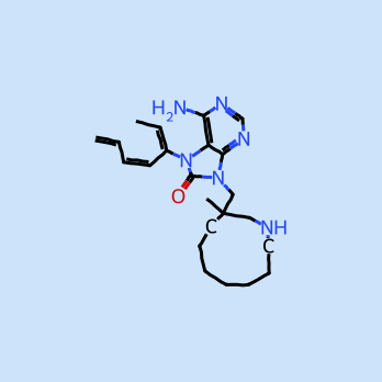 C=C/C=C\C(=C/C)n1c(=O)n(CC2(C)CCCCCCCNC2)c2ncnc(N)c21